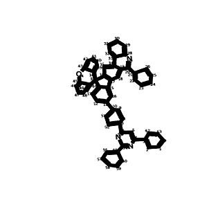 c1ccc(-c2cc(-c3ccc(-c4ccc5c(c4)-c4cc6c(-c7ccccc7)nc7ccccc7c6cc4C54c5ccccc5Oc5ccccc54)cc3)nc(-c3ccccc3)n2)cc1